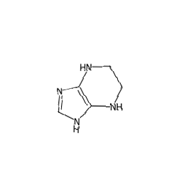 c1nc2c([nH]1)NCCN2